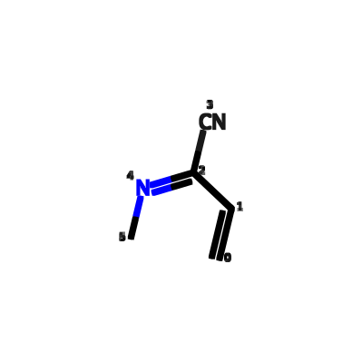 C=C/C(C#N)=N\C